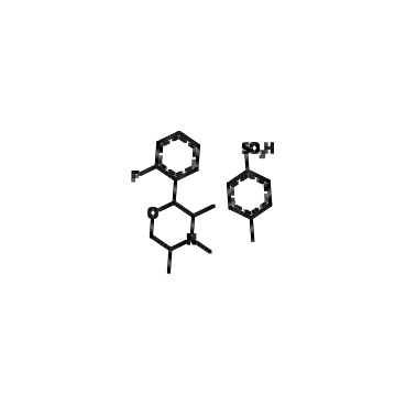 CC1COC(c2ccccc2F)C(C)N1C.Cc1ccc(S(=O)(=O)O)cc1